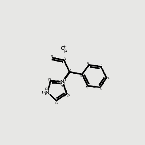 C=CC(c1ccccc1)[n+]1cc[nH]c1.[Cl-]